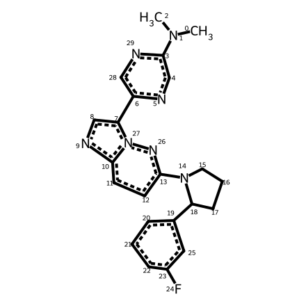 CN(C)c1cnc(-c2cnc3ccc(N4CCCC4c4cccc(F)c4)nn23)cn1